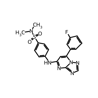 CN(C)S(=O)(=O)c1ccc(Nc2cc(-c3cccc(F)c3)n3ncnc3n2)cc1